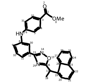 COC(=O)c1ccc(Nc2cccc(-c3noc(C(C)c4cccc5ccccc45)n3)c2)cc1